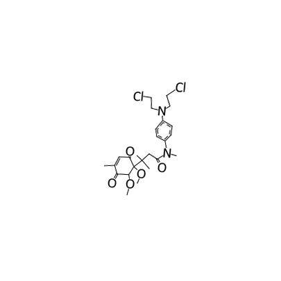 COC1C(=O)C(C)=CC(=O)C1(OC)C(C)(C)CC(=O)N(C)c1ccc(N(CCCl)CCCl)cc1